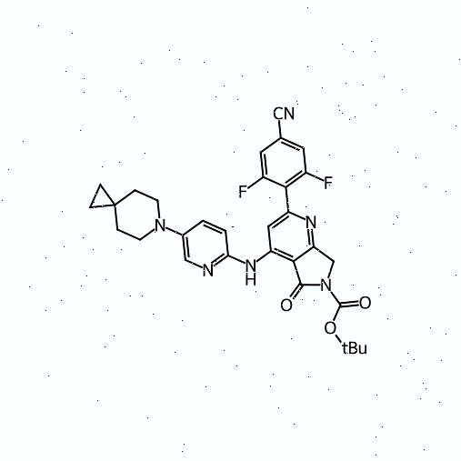 CC(C)(C)OC(=O)N1Cc2nc(-c3c(F)cc(C#N)cc3F)cc(Nc3ccc(N4CCC5(CC4)CC5)cn3)c2C1=O